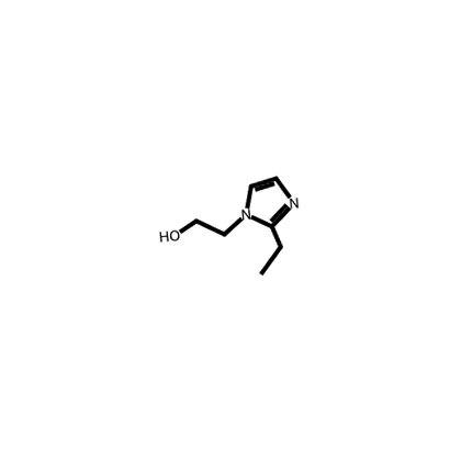 CCc1nccn1CCO